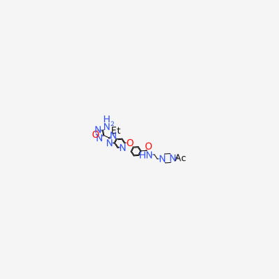 CCn1c(-c2nonc2N)nc2cnc(Oc3cccc(C(=O)NCCN4CCN(C(C)=O)CC4)c3)cc21